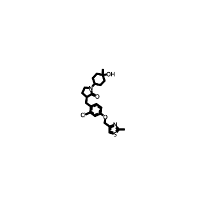 Cc1nc(COc2ccc(CC3CCN(C4CCC(C)(O)CC4)C3=O)c(Cl)c2)cs1